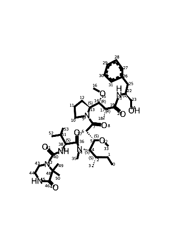 CC[C@H](C)[C@@H]([C@H](CC(=O)N1CCC[C@H]1[C@H](OC)[C@@H](C)C(=O)N[C@H](CO)Cc1ccccc1)OC)N(C)C(=O)[C@@H](NC(=O)N1CCNC(=O)C1(C)C)C(C)C